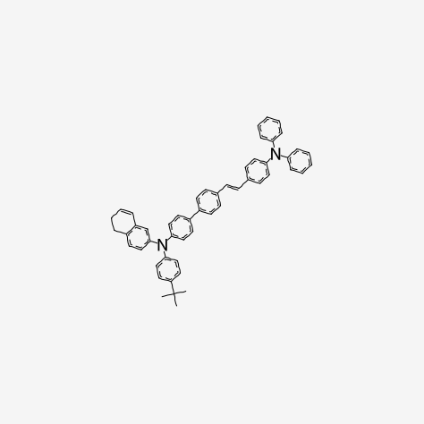 CC(C)(C)c1ccc(N(c2ccc(-c3ccc(/C=C/c4ccc(N(c5ccccc5)c5ccccc5)cc4)cc3)cc2)c2ccc3c(c2)C=CCC3)cc1